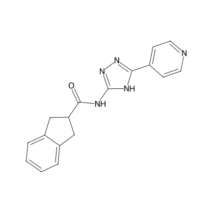 O=C(Nc1nnc(-c2ccncc2)[nH]1)C1Cc2ccccc2C1